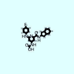 O=C(O)Nc1cc(Nc2ccc(F)cc2)nc(C(=O)NC2Cc3ccccc3C2)c1